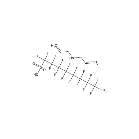 C=CCNCC=C.CC(F)(F)C(F)(F)C(F)(F)C(F)(F)C(F)(F)C(F)(F)C(F)(F)C(F)(F)S(=O)(=O)O